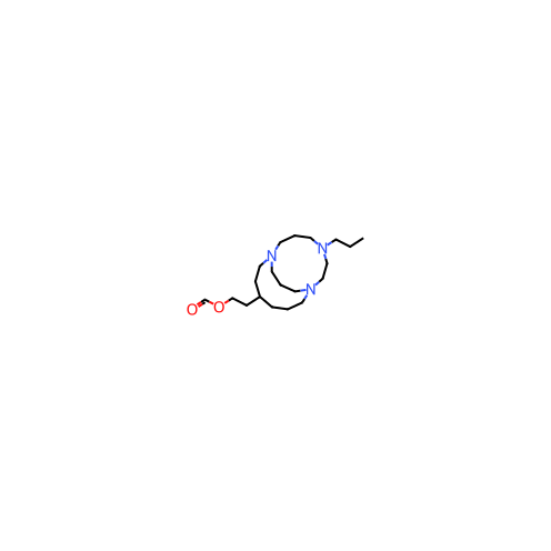 CCCN1CCCN2CCCN(CCCC(CCOC=O)CC2)CC1